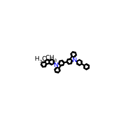 CC1(C)c2ccccc2-c2cc(-n3c4ccccc4c4cc(-c5ccc6c(c5)c5ccccc5n6C5C=CC(c6ccccc6)=CC5)ccc43)ccc21